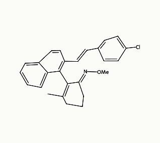 CO/N=C1\CCCC(C)=C1c1c(/C=C/c2ccc(Cl)cc2)ccc2ccccc12